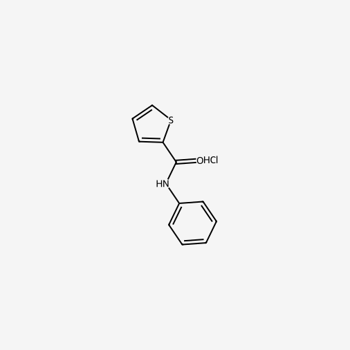 Cl.O=C(Nc1ccccc1)c1cccs1